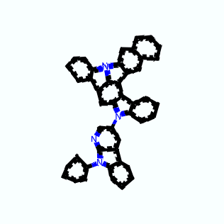 c1ccc(-n2c3ccccc3c3cc(-n4c5ccccc5c5c6c7cc8ccccc8cc7n7c8ccccc8c(cc54)c67)cnc32)cc1